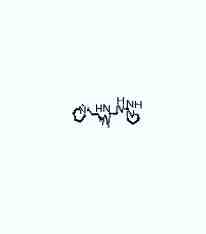 CN(CCCC[N+]1(C)CCCCC1)C(=N)CNC(=N)N1CCCC1